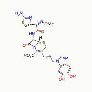 CO/N=C(\C(=O)NC1C(=O)N2C(C(=O)O)=C(/C=C/Cn3cnc4cc(O)c(O)cc43)CS[C@@H]12)c1csc(N)n1